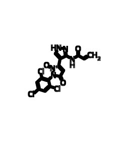 C=CC(=O)Nc1n[nH]cc1C1=CC(=O)N(c2c(Cl)cc(Cl)cc2Cl)[N+]1=O